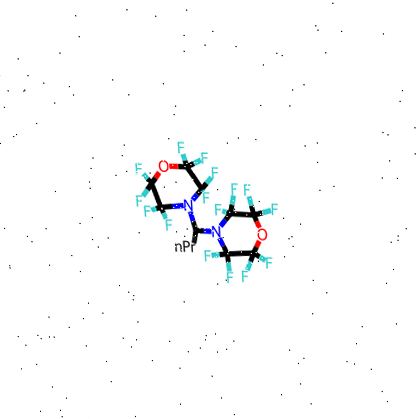 CCCC(N1C(F)(F)C(F)(F)OC(F)(F)C1(F)F)N1C(F)(F)C(F)(F)OC(F)(F)C1(F)F